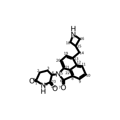 O=C1CCC(N2C(=O)c3cccc4c(CC5CNC5)ccc2c34)C(=O)N1